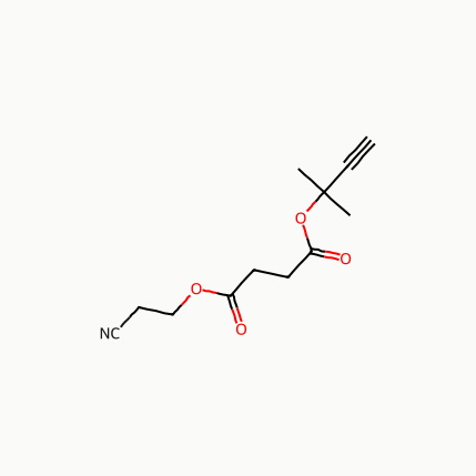 C#CC(C)(C)OC(=O)CCC(=O)OCCC#N